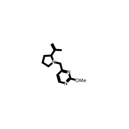 C=C(C)C1CCCN1Cc1ccnc(OC)n1